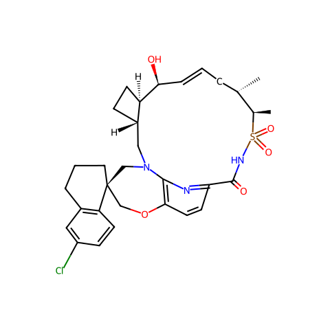 C[C@@H]1[C@@H](C)C/C=C/[C@H](O)[C@@H]2CC[C@H]2CN2C[C@@]3(CCCc4cc(Cl)ccc43)COc3ccc(nc32)C(=O)NS1(=O)=O